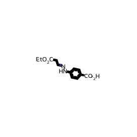 CCOC(=O)C/C=N/Nc1ccc(C(=O)O)cc1